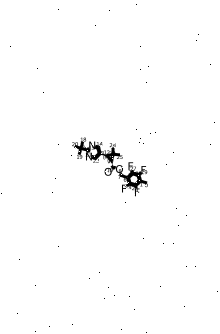 Cc1c(F)c(F)c(COC(=O)[C@@H]2[C@@H](c3cnc(C(C)(C)C)nc3)C2(C)C)c(F)c1F